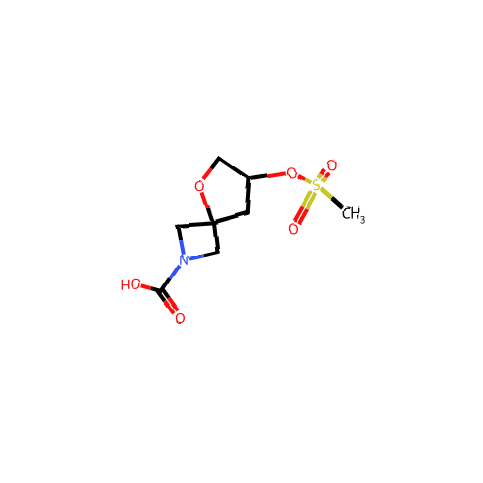 CS(=O)(=O)OC1COC2(C1)CN(C(=O)O)C2